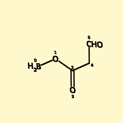 BOC(=O)CC=O